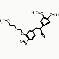 COCCOCOc1cc(C=C(C#N)c2ccc(OC)c(OC)c2)ccc1[N+](=O)[O-]